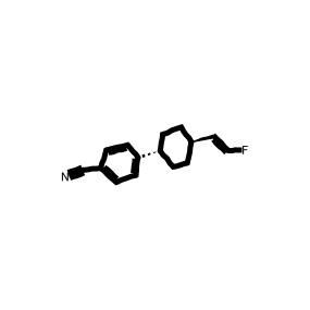 N#Cc1ccc([C@H]2CC[C@H](C=CF)CC2)cc1